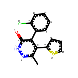 Cc1n[nH]c(=O)c(-c2ccccc2Cl)c1-c1cccs1